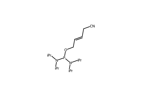 CC(C)N(C(C)C)P(OC/C=C/CC#N)N(C(C)C)C(C)C